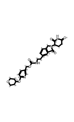 O=C1CCC(N2Cc3ccc(CCNC(=O)OCc4ccc(OC5CCOCC5)nc4)cc3C2=O)C(=O)N1